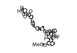 C#Cc1cccc2cc(OCOC)cc(-c3ncc4c(N5CC6CCC(C5)N6C(=O)OC(C)(C)C)nc(OCC5(CN6CCC(CN7CCN(c8ccc9c(c8)C(=O)N(C8CCC(=O)NC8=O)C9=O)CC7)CC6)CC5)nc4c3F)c12